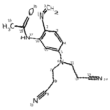 C=Nc1ccc(N(CCC#N)CCC#N)cc1NC(C)=O